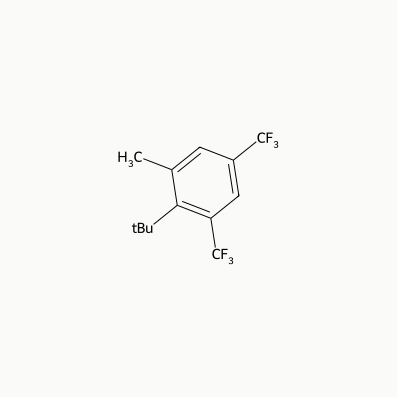 Cc1cc(C(F)(F)F)cc(C(F)(F)F)c1C(C)(C)C